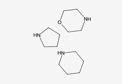 C1CCNC1.C1CCNCC1.C1COCCN1